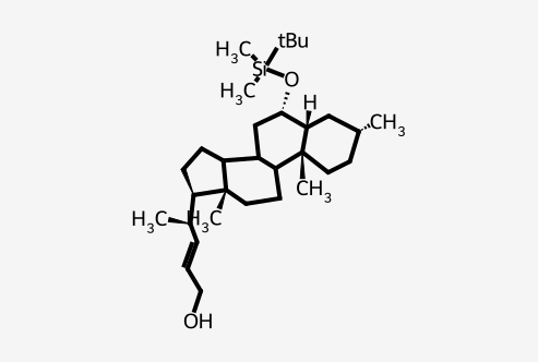 C[C@@H]1CC[C@]2(C)C3CC[C@@]4(C)C(CC[C@@H]4[C@H](C)/C=C/CO)C3C[C@H](O[Si](C)(C)C(C)(C)C)[C@@H]2C1